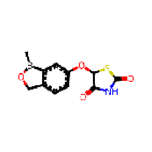 CB1OCc2ccc(OC3SC(=O)NC3=O)cc21